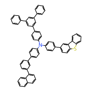 c1ccc(-c2cc(-c3ccccc3)cc(-c3ccc(N(c4ccc(-c5cccc(-c6cccc7ccccc67)c5)cc4)c4ccc(-c5ccc6sc7ccccc7c6c5)cc4)cc3)c2)cc1